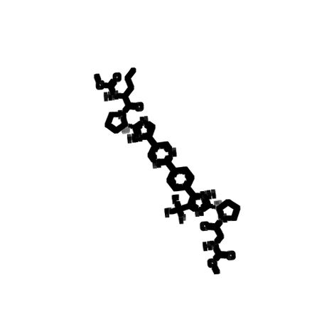 CCCC(NC(=O)OC)C(=O)N1CCC[C@H]1c1ncc(-c2cnc(-c3ccc(-c4[nH]c([C@@H]5CCCN5C(=O)CNC(=O)OC)nc4C(F)(F)F)cc3)nc2)[nH]1